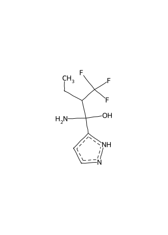 CCC(C(F)(F)F)C(N)(O)c1ccn[nH]1